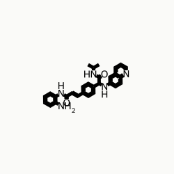 CC(C)NC(=O)C(Nc1ccc2ncccc2c1)c1ccc(C=CC(=O)Nc2ccccc2N)cc1